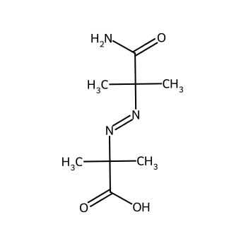 CC(C)(/N=N/C(C)(C)C(=O)O)C(N)=O